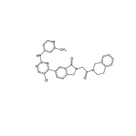 Cc1cc(Nc2ncc(Cl)c(-c3ccc4c(c3)C(=O)N(CC(=O)N3CCc5ccccc5C3)C4)n2)ccn1